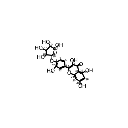 O=c1c(O)c(-c2ccc(O[C@@H]3O[C@H](O)[C@H](O)C(O)C3O)c(O)c2)oc2cc(O)cc(O)c12